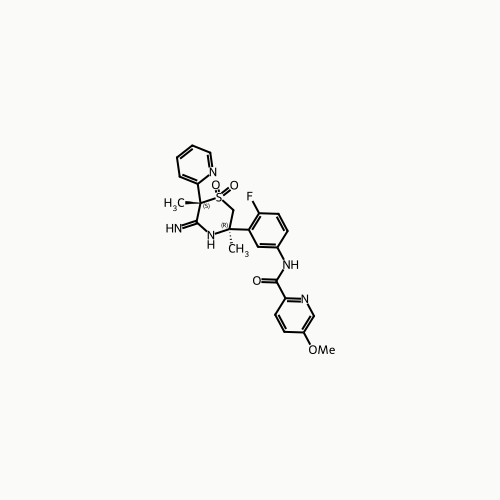 COc1ccc(C(=O)Nc2ccc(F)c([C@]3(C)CS(=O)(=O)[C@@](C)(c4ccccn4)C(=N)N3)c2)nc1